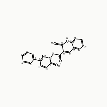 O=C(Cn1nc(-c2ccccc2)ccc1=O)c1cc2ccccc2oc1=O